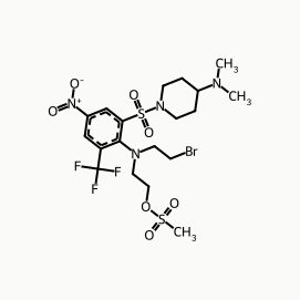 CN(C)C1CCN(S(=O)(=O)c2cc([N+](=O)[O-])cc(C(F)(F)F)c2N(CCBr)CCOS(C)(=O)=O)CC1